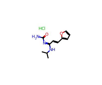 CC(C)NC(/C=C/c1ccco1)=N/C(N)=O.Cl